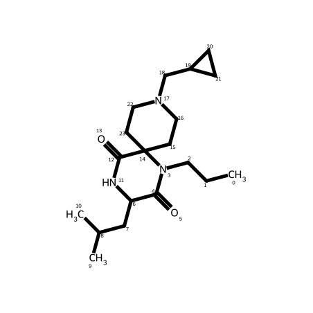 CCCN1C(=O)C(CC(C)C)NC(=O)C12CCN(CC1CC1)CC2